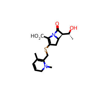 CC1=C(CSC2=C(C(=O)O)N3C(=O)[C@@H]([C@@H](C)O)C3C2)N(C)CC=C1